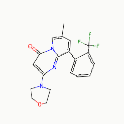 Cc1cc(-c2ccccc2C(F)(F)F)c2nc(N3CCOCC3)cc(=O)n2c1